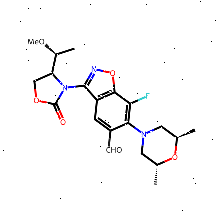 CO[C@@H](C)C1COC(=O)N1c1noc2c(F)c(N3C[C@@H](C)O[C@H](C)C3)c(C=O)cc12